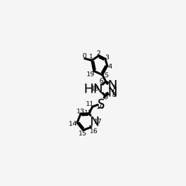 Cc1cccc(-c2nnc(SCc3ccccn3)[nH]2)c1